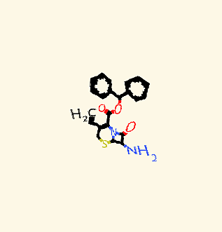 C=CC1=C(C(=O)OC(c2ccccc2)c2ccccc2)N2C(=O)C(N)C2SC1